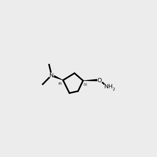 CN(C)[C@@H]1CC[C@H](ON)C1